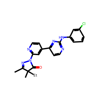 CCC1(C)C(=O)N(c2cc(-c3ccnc(Nc4cccc(Cl)c4)n3)ccn2)N=C1C